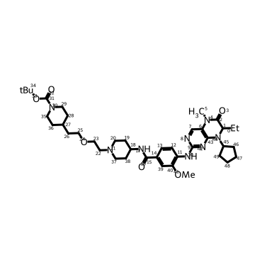 CCC1C(=O)N(C)c2cnc(Nc3ccc(C(=O)NC4CCN(CCOCCC5CCN(C(=O)OC(C)(C)C)CC5)CC4)cc3OC)nc2N1C1CCCC1